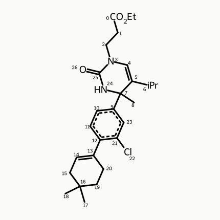 CCOC(=O)CCN1C=C(C(C)C)C(C)(c2ccc(C3=CCC(C)(C)CC3)c(Cl)c2)NC1=O